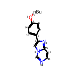 CCCCOc1ccc(-c2cn3cnccc3n2)cc1